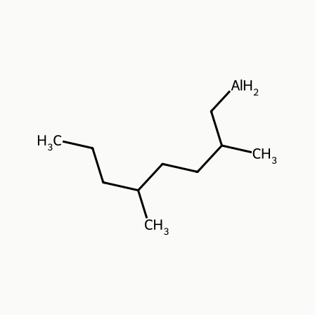 CCCC(C)CCC(C)[CH2][AlH2]